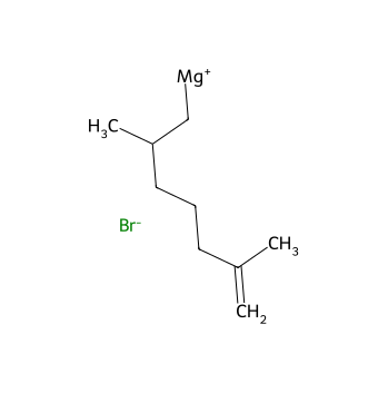 C=C(C)CCCC(C)[CH2][Mg+].[Br-]